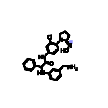 NCc1cccc(NC(C(=O)Nc2ccc(N3CCC/C3=N/O)c(Cl)c2)c2ccccc2)c1